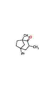 CC1CC2(C(C)C)CCC(C)(C2)C1=O